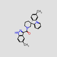 Cc1ccc([C@@]2(c3ccccn3)CCCN(C(=O)c3n[nH]c4ccc(C)cc34)C2)cc1